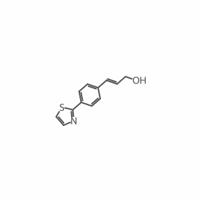 OC/C=C/c1ccc(-c2nccs2)cc1